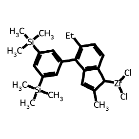 CCc1ccc2c(c1-c1cc([Si](C)(C)C)cc([Si](C)(C)C)c1)C=C(C)[CH]2[Zr]([Cl])[Cl]